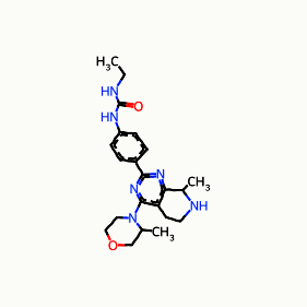 CCNC(=O)Nc1ccc(-c2nc3c(c(N4CCOCC4C)n2)CCNC3C)cc1